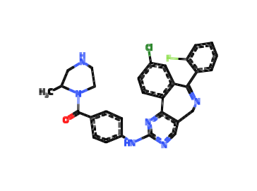 CC1CNCCN1C(=O)c1ccc(Nc2ncc3c(n2)-c2ccc(Cl)cc2C(c2ccccc2F)=NC3)cc1